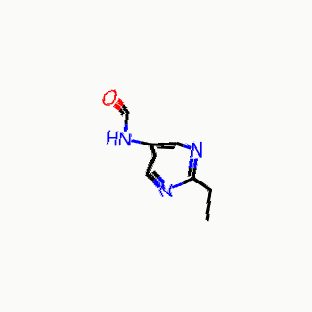 CCc1ncc(NC=O)cn1